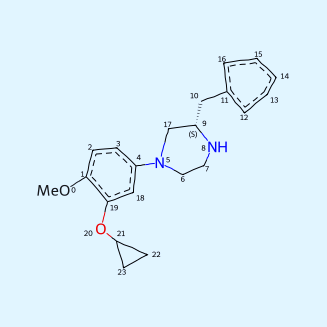 COc1ccc(N2CCN[C@@H](Cc3ccccc3)C2)cc1OC1CC1